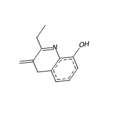 C=C1Cc2cccc(O)c2N=C1CC